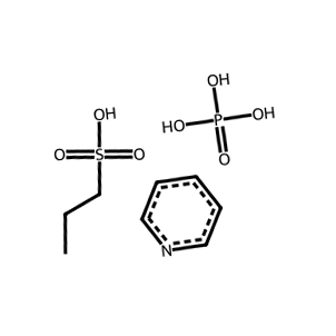 CCCS(=O)(=O)O.O=P(O)(O)O.c1ccncc1